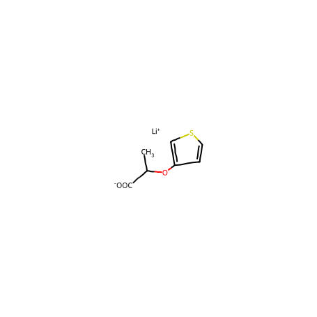 CC(Oc1ccsc1)C(=O)[O-].[Li+]